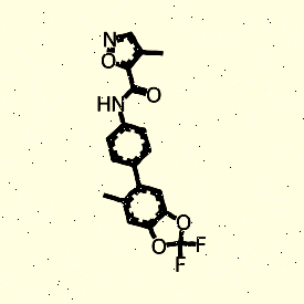 Cc1cc2c(cc1-c1ccc(NC(=O)c3oncc3C)cc1)OC(F)(F)O2